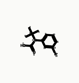 CC(C)(C)N(C(=O)O)c1cccc(Br)c1